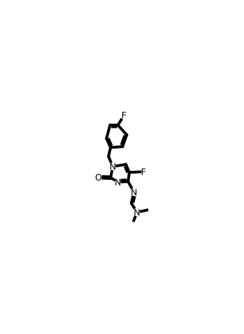 CN(C)C=Nc1nc(=O)n(Cc2ccc(F)cc2)cc1F